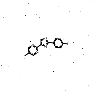 Cc1cnc(-c2coc(-c3ccc(F)cc3)n2)nc1